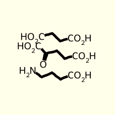 NCCCC(=O)O.O=C(O)CCC(=O)C(=O)O.O=C(O)CCC(=O)O